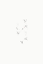 c1ccc(-n2c3ccccc3c3ccc(-c4cccc5c4c4ccccc4n5-c4cccc(-c5ccc6c(c5)sc5ccc(-c7cc(-c8ccc(-n9c%10ccccc%10c%10ccc(-c%11cccc%12c%11c%11ccccc%11n%12-c%11ccc%12c(c%11)sc%11ccccc%11%12)cc%109)cc8)cc8sc9ccc(-c%10ccccc%10-n%10c%11ccccc%11c%11c(-c%12ccc%13c%14ccccc%14n(-c%14ccccc%14)c%13c%12)cccc%11%10)cc9c78)cc56)c4)cc32)cc1